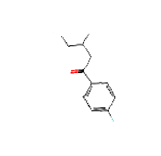 CCOC(=O)CC(CC(=O)c1ccc(F)cc1)C(F)(F)F